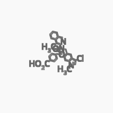 Cc1c(N(Cc2ccc3c(c2)c(Cl)cn3C)S(=O)(=O)c2ccc(C(=O)O)cc2)ncc2ccccc12